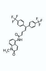 Cn1c(=O)ccc2c(NC(=O)C=CC=C(c3ccc(C(F)(F)F)cc3)c3ccc(C(F)(F)F)cc3)cccc21